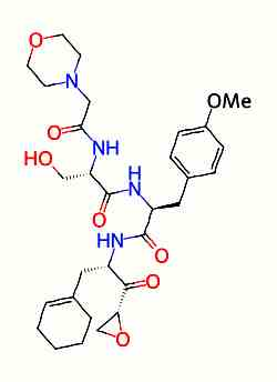 COc1ccc(C[C@H](NC(=O)[C@H](CO)NC(=O)CN2CCOCC2)C(=O)N[C@@H](CC2=CCCCC2)C(=O)[C@H]2CO2)cc1